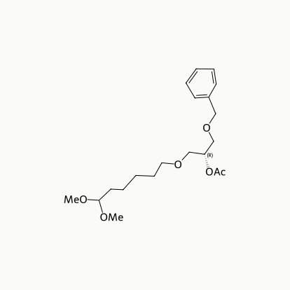 COC(CCCCCOC[C@H](COCc1ccccc1)OC(C)=O)OC